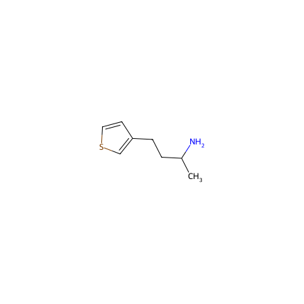 CC(N)CCc1ccsc1